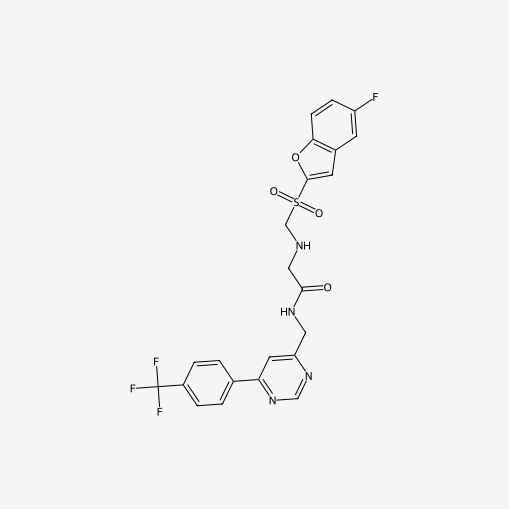 O=C(CNCS(=O)(=O)c1cc2cc(F)ccc2o1)NCc1cc(-c2ccc(C(F)(F)F)cc2)ncn1